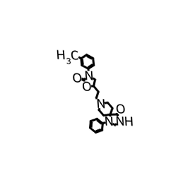 Cc1cccc(N2CC(CCN3CCC4(CC3)C(=O)NCN4c3ccccc3)OC2=O)c1